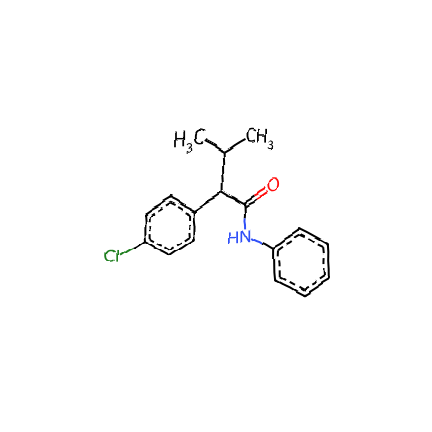 CC(C)C(C(=O)Nc1ccccc1)c1ccc(Cl)cc1